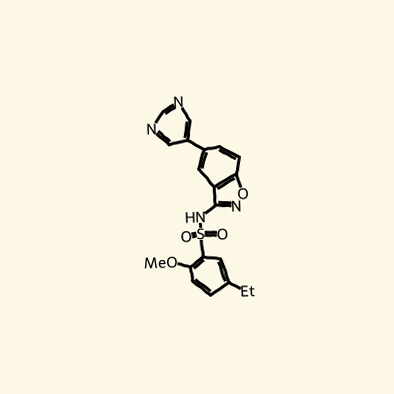 CCc1ccc(OC)c(S(=O)(=O)Nc2noc3ccc(-c4cncnc4)cc23)c1